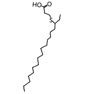 CCCCCCCCCCCCCCCC(CC)SCCC(=O)O